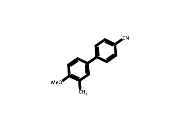 COc1ccc(-c2ccc(C#N)cc2)cc1C